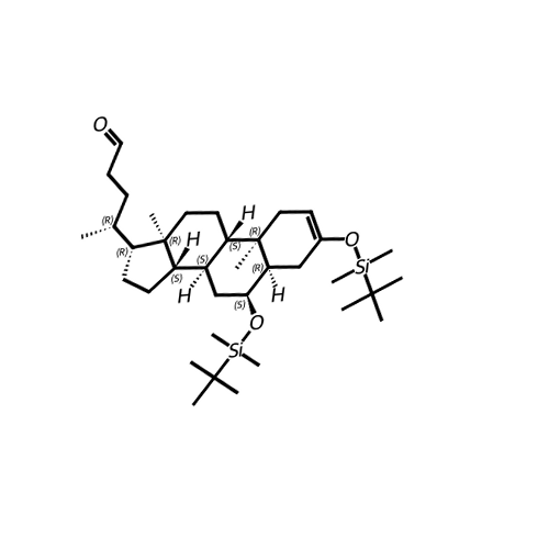 C[C@H](CCC=O)[C@H]1CC[C@H]2[C@@H]3C[C@H](O[Si](C)(C)C(C)(C)C)[C@@H]4CC(O[Si](C)(C)C(C)(C)C)=CC[C@]4(C)[C@H]3CC[C@]12C